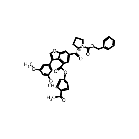 COc1cc(OC)cc(-c2coc3cc(C(=O)[C@@H]4CCCN4C(=O)OCc4ccccc4)cc(C(=O)Oc4ccc(C(C)=O)cc4)c23)c1